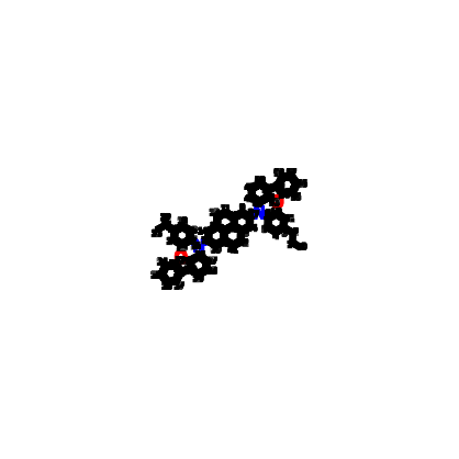 CCCc1ccc(N(c2cc3ccc4cc(N(c5ccc(C(C)C)cc5)c5cccc6c5oc5ccccc56)cc5ccc(c2)c3c45)c2cccc3c2oc2ccccc23)cc1